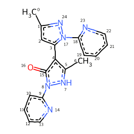 Cc1cc(-c2c(C)[nH]n(-c3ccccn3)c2=O)n(-c2ccccn2)n1